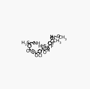 COCCn1ncc(-c2ccc(-c3cnc(C(=O)Nc4ccc(C(=O)N5CCN(C(=O)C6CC[N+](C)(CC7CNC7)CC6)CC5)c(Cl)c4)n3C)c(F)c2F)c1C